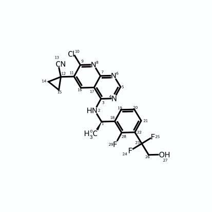 C[C@@H](Nc1ncnc2nc(Cl)c(C3(C#N)CC3)cc12)c1cccc(C(F)(F)CO)c1F